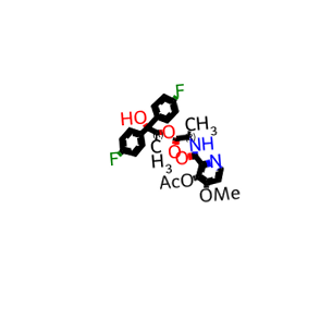 COc1ccnc(C(=O)N[C@H](C)C(=O)O[C@H](C)C(O)(c2ccc(F)cc2)c2ccc(F)cc2)c1OC(C)=O